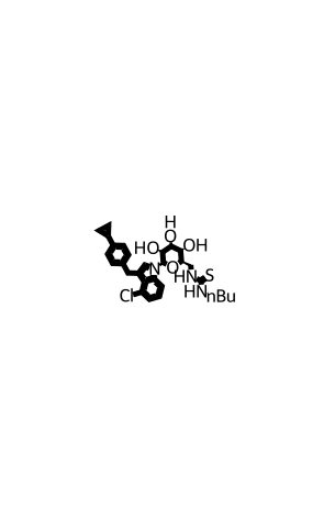 CCCCNC(=S)NC[C@H]1O[C@@H](n2cc(Cc3ccc(C4CC4)cc3)c3c(Cl)cccc32)[C@H](O)[C@@H](O)[C@@H]1O